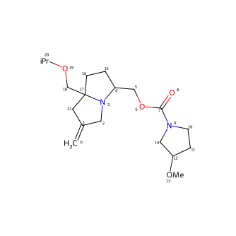 C=C1CN2C(COC(=O)N3CCC(OC)C3)CCC2(COC(C)C)C1